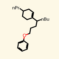 CCCCC(CCCOc1ccccc1)C1=CCC(CCC)CC1